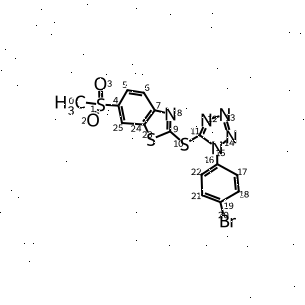 CS(=O)(=O)c1ccc2nc(Sc3nnnn3-c3ccc(Br)cc3)sc2c1